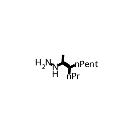 CCCCC/C(CCC)=C(\C)NN